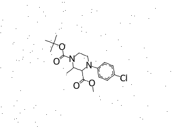 COC(=O)C1C(C)N(C(=O)OC(C)(C)C)CCN1c1ccc(Cl)cc1